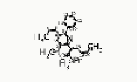 C=Cc1cc(/C=C\C)c(-c2ccccc2)nc1/C(C/C=C\C)=C(\C)C(C)C